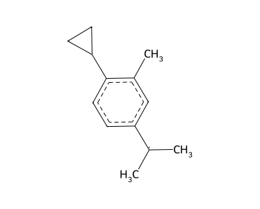 C[C](C)c1ccc(C2CC2)c(C)c1